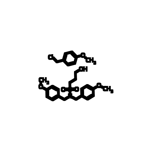 COc1ccc(CCl)cc1.COc1ccc(CN(Cc2ccc(OC)cc2)S(=O)(=O)CCCO)cc1